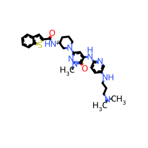 CN(C)CCCNc1ccc(Nc2cc(N3CCC[C@@H](NC(=O)c4cc5ccccc5s4)C3)nn(C)c2=O)nc1